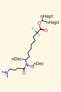 CCCCCCCCCCON(C(=O)CCCN(C)C)C(CCCCCCCCCC)CCCCCCC(F)(F)C(=O)OC(CCCCCCC)CCCCCCC